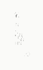 Cc1nc(NCC2CCC[C@H](c3ccc(C)o3)C2)c(C)c(C(=O)N2CCC(N3CCC(N(C)S(C)(=O)=O)CC3)CC2)n1